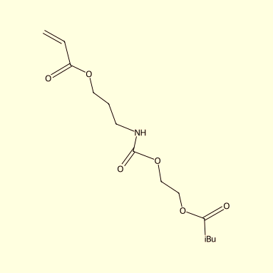 C=CC(=O)OCCCNC(=O)OCCOC(=O)C(C)CC